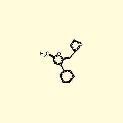 C=c1cc(-c2ccccc2)/c(=C/c2ccsc2)o1